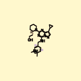 CN/C=C(\C=C/C(C)=O)CNc1nc(N2CCCC[C@H]2CCO)nc2c(C3CC3)cnn12